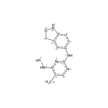 CCCNc1nc(Nc2ccc3c(c2)COB3)ncc1C